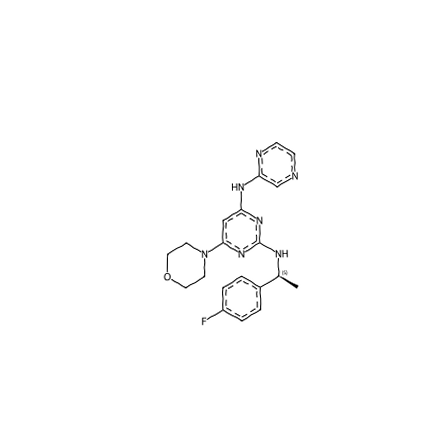 C[C@H](Nc1nc(Nc2cnccn2)cc(N2CCOCC2)n1)c1ccc(F)cc1